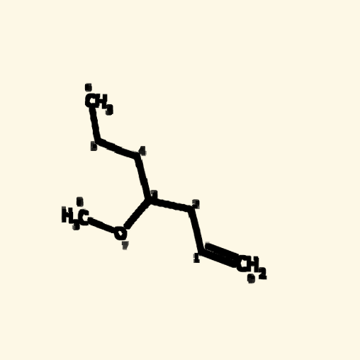 C=CCC(CCC)OC